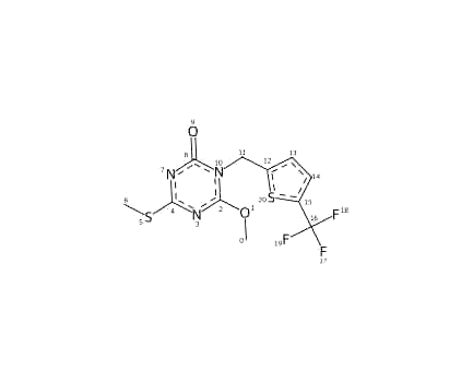 COc1nc(SC)nc(=O)n1Cc1ccc(C(F)(F)F)s1